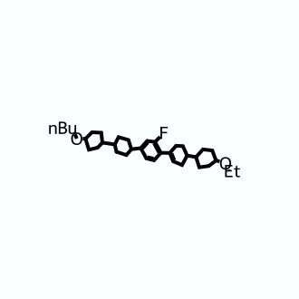 CCCCOC1CCC(C2CCC(c3ccc(C4=CCC(C5CCC(OCC)CC5)CC4)c(F)c3)CC2)CC1